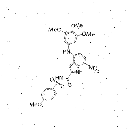 COc1ccc(S(=O)(=O)NC(=O)c2cc3c(Nc4cc(OC)c(OC)c(OC)c4)ccc([N+](=O)[O-])c3[nH]2)cc1